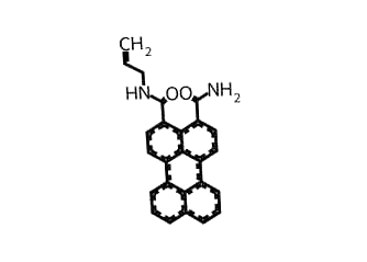 C=CCNC(=O)c1ccc2c3cccc4cccc(c5ccc(C(N)=O)c1c52)c43